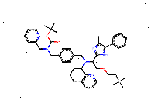 Cc1nc(C(COCC[Si](C)(C)C)N(Cc2ccc(CN(Cc3ccccn3)C(=O)OC(C)(C)C)cc2)C2CCCc3cccnc32)[nH]c1-c1ccccc1